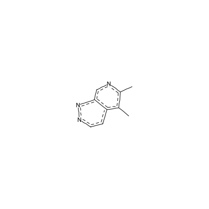 Cc1ncc2nnccc2c1C